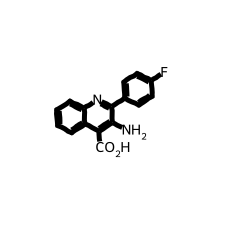 Nc1c(-c2ccc(F)cc2)nc2ccccc2c1C(=O)O